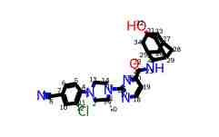 C[C@@H]1CN(c2ccc(C#N)cc2Cl)CCN1c1nccc(C(=O)NC2C3CC4CC2CC(O)(C4)C3)n1